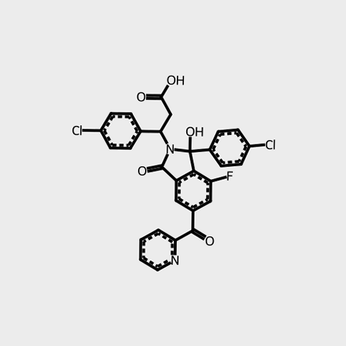 O=C(O)CC(c1ccc(Cl)cc1)N1C(=O)c2cc(C(=O)c3ccccn3)cc(F)c2C1(O)c1ccc(Cl)cc1